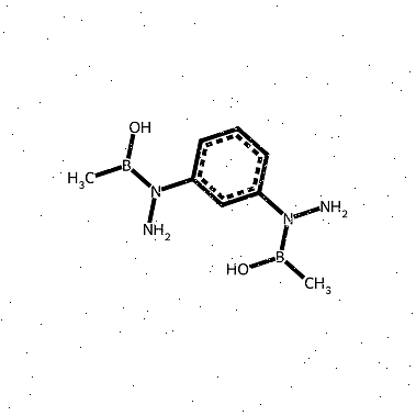 CB(O)N(N)c1cccc(N(N)B(C)O)c1